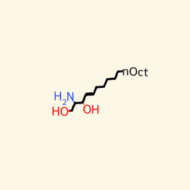 CCCCCCCCCCCCC/C=C/[C@H](O)[C@H](N)CO